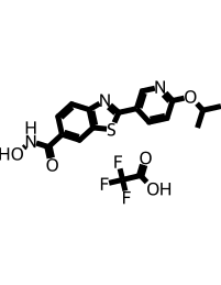 CC(C)Oc1ccc(-c2nc3ccc(C(=O)NO)cc3s2)cn1.O=C(O)C(F)(F)F